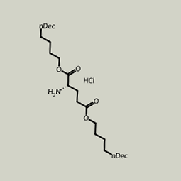 CCCCCCCCCCCCCCOC(=O)CC[C@H](N)C(=O)OCCCCCCCCCCCCCC.Cl